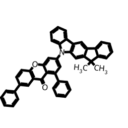 CC1(C)c2ccccc2-c2cc3c4ccccc4n(-c4cc(-c5ccccc5)c5c(=O)c6cc(-c7ccccc7)ccc6oc5c4)c3cc21